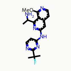 COc1nccc2cc(Nc3ccnc(C(C)(C)F)n3)nc(C(C)N)c12